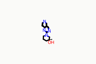 C[C@@]1(O)CCCN(c2ncc3cnccc3n2)C1